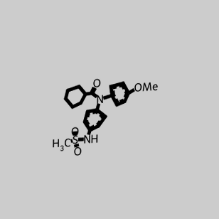 COc1ccc(N(C(=O)C2CCCCC2)c2ccc(NS(C)(=O)=O)cc2)cc1